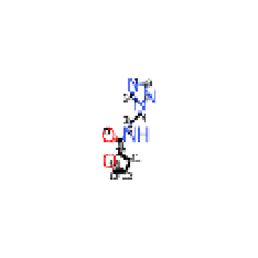 O=C(NCCn1cncn1)c1ccco1